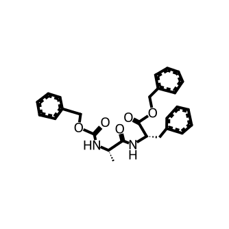 C[C@H](NC(=O)OCc1ccccc1)C(=O)N[C@@H](Cc1ccccc1)C(=O)OCc1ccccc1